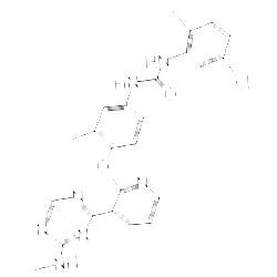 CNc1ncnc(-c2cccnc2Oc2ccc(NC(=O)Nc3cc(Cl)ccc3C)cc2C)n1